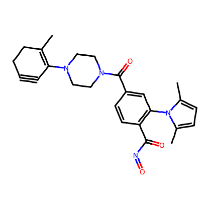 CC1=C(N2CCN(C(=O)c3ccc(C(=O)N=O)c(-n4c(C)ccc4C)c3)CC2)C#CCC1